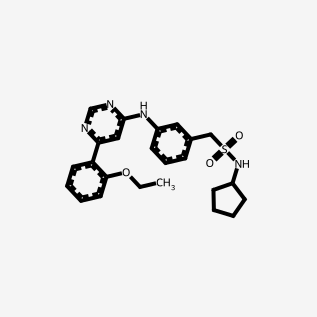 CCOc1ccccc1-c1cc(Nc2cccc(CS(=O)(=O)NC3CCCC3)c2)ncn1